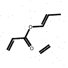 C=C.C=CC(=O)OC=CC